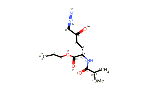 CO[C@H](C)C(=O)N[C@@H](CCC(=O)C=[N+]=[N-])C(=O)OCCC(F)(F)F